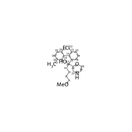 COCCCC[C@@](O)(c1cccc(Cl)c1-c1cc(C)ccc1F)C1CNCCO1